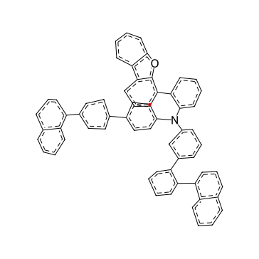 c1cc(-c2ccccc2-c2cccc3ccccc23)cc(N(c2ccc(-c3ccc(-c4cccc5ccccc45)cc3)cc2)c2ccccc2-c2cccc3c2oc2ccccc23)c1